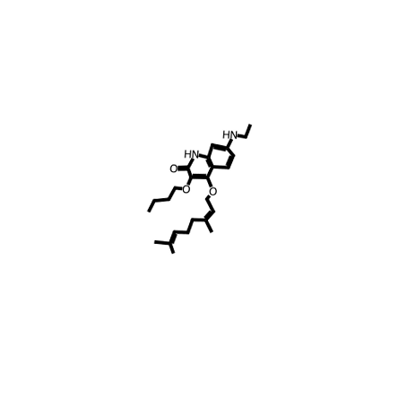 CCCCOc1c(OCC=C(C)CCC=C(C)C)c2ccc(NCC)cc2[nH]c1=O